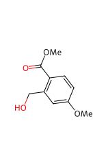 COC(=O)c1ccc(OC)cc1CO